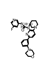 O=C(Nc1cncc(F)c1)N1c2nc(-c3cccc(N4CCOCC4)c3)ccc2N2CCC[C@H]1C2